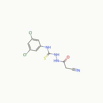 N#CCC(=O)NNC(=S)Nc1cc(Cl)cc(Cl)c1